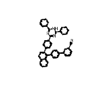 N#Cc1cccc(-c2ccc(-c3c(-c4ccc(C5=NC(c6ccccc6)NC(c6ccccc6)=N5)cc4)ccc4ccccc34)cc2)c1